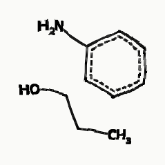 CCCO.Nc1ccccc1